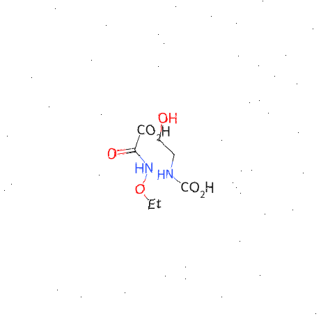 CCONC(=O)C(=O)O.O=C(O)NCCO